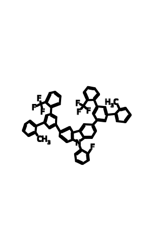 Cc1ccccc1-c1cc(-c2ccc3c(c2)c2cc(-c4cc(-c5ccccc5C)cc(-c5ccccc5C(F)(F)F)c4)ccc2n3-c2ccccc2F)cc(-c2ccccc2C(F)(F)F)c1